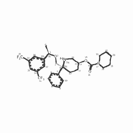 C[C@@H](OC[C@@]1(c2ccccc2)CC[C@H](OC(=O)N2CCCCC2)CN1)c1cc(C(F)(F)F)cc(C(F)(F)F)c1